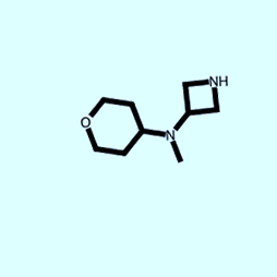 CN(C1CCOCC1)C1CNC1